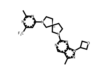 Cc1nc(N2CC[C@]3(CCN(c4ncc5c(C)nn(C6COC6)c5n4)C3)C2)cc(C(F)(F)F)n1